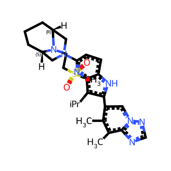 Cc1c(-c2[nH]c3ccc(N4C[C@H]5CCC[C@@H](C4)N5CCS(C)(=O)=O)nc3c2C(C)C)cn2ncnc2c1C